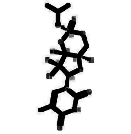 Cc1cn([C@@H]2O[C@@H]3CO[P@@](=S)(OC(C)C)O[C@H]3[C@@]2(F)Cl)c(=O)[nH]c1=O